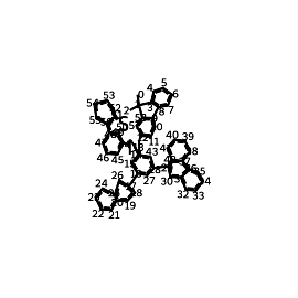 CC1(C)c2ccccc2-c2ccc(N(c3cc(-c4ccc5ccccc5c4)cc(-c4cc5ccccc5c5ccccc45)c3)c3cccc4c3sc3ccccc34)cc21